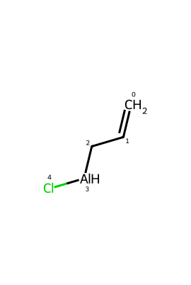 C=C[CH2][AlH][Cl]